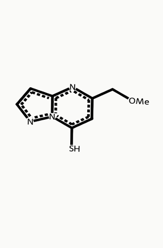 COCc1cc(S)n2nccc2n1